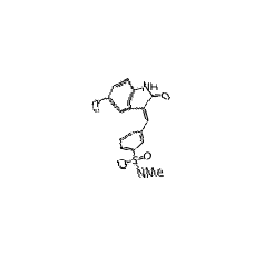 CNS(=O)(=O)c1cccc(/C=C2/C(=O)Nc3ccc(Cl)cc32)c1